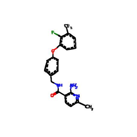 Cc1ccc(C(=O)NCc2ccc(Oc3cccc(C(F)(F)F)c3F)cc2)c(N)n1